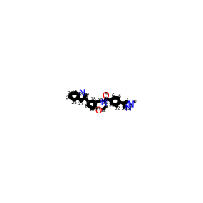 Cn1cc(-c2ccc(C(=O)N3CCOc4ccc(-c5cnc6ccccc6c5)cc4C3)cc2)cn1